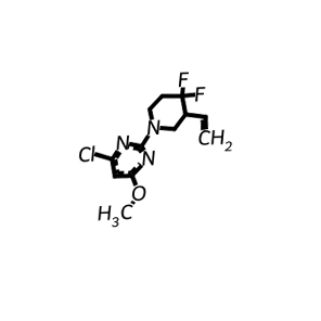 C=CC1CN(c2nc(Cl)cc(OC)n2)CCC1(F)F